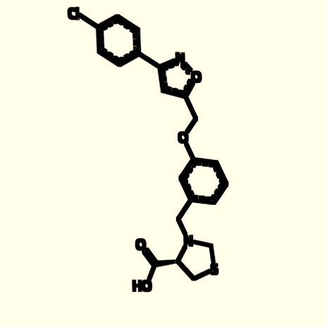 O=C(O)[C@@H]1CSCN1Cc1cccc(OCc2cc(-c3ccc(Cl)cc3)no2)c1